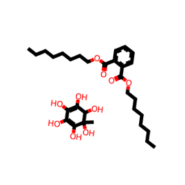 CC1(O)C(O)=C(O)C(O)=C(O)C1O.CCCCCCCCOC(=O)c1ccccc1C(=O)OCCCCCCCC